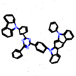 c1ccc(-c2nc(-c3ccc(-n4c5ccccc5c5cc6c7ccccc7n(-c7ccccc7)c6cc54)cc3)nc(-c3cccc(-n4c5ccccc5c5ccccc54)c3)n2)cc1